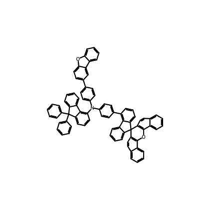 c1ccc(C2(c3ccccc3)c3ccccc3-c3c(N(c4ccc(-c5ccc6oc7ccccc7c6c5)cc4)c4ccc(-c5cccc6c5-c5ccccc5C65c6ccc7ccccc7c6Oc6c5ccc5ccccc65)cc4)cccc32)cc1